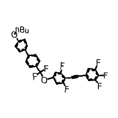 CCCCOc1ccc(-c2ccc(C(F)(F)Oc3cc(F)c(C#Cc4cc(F)c(F)c(F)c4)c(F)c3)cc2)cc1